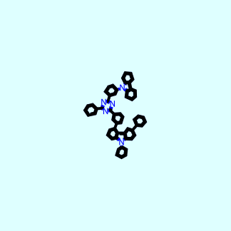 c1ccc(-c2ccc3c(c2)c2c(-c4cccc(-c5nc(-c6ccccc6)nc(-c6cccc(-n7c8ccccc8c8ccccc87)c6)n5)c4)cccc2n3-c2ccccc2)cc1